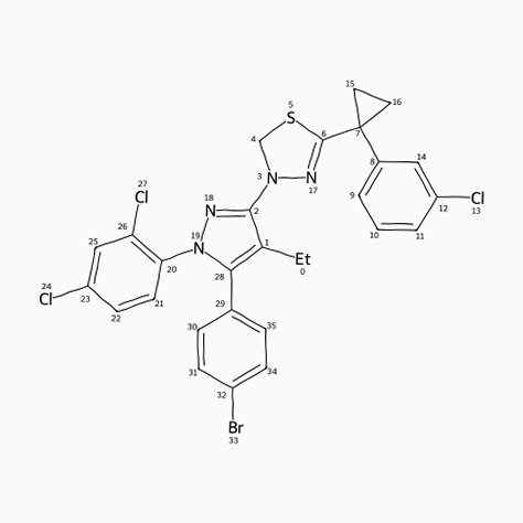 CCc1c(N2CSC(C3(c4cccc(Cl)c4)CC3)=N2)nn(-c2ccc(Cl)cc2Cl)c1-c1ccc(Br)cc1